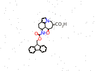 O=C(N[C@H]1CCc2ccn3c2C1C(=O)C[C@H](C(=O)O)C3)OCC1c2ccccc2-c2ccccc21